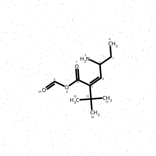 CCC(N)C=C(C(=O)OC=O)C(C)(C)C